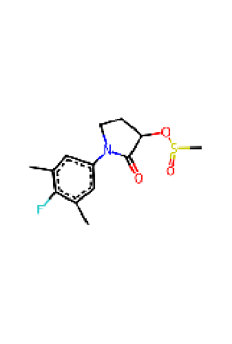 Cc1cc(N2CCC(OS(C)=O)C2=O)cc(C)c1F